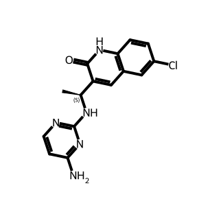 C[C@H](Nc1nccc(N)n1)c1cc2cc(Cl)ccc2[nH]c1=O